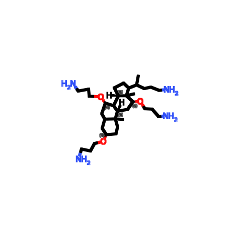 CC(CCCN)C1CC[C@H]2C3[C@H](OCCCN)CC4C[C@H](OCCCN)CCC4(C)[C@H]3C[C@H](OCCCN)C12C